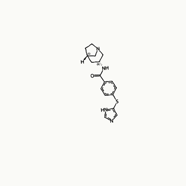 O=C(N[C@@H]1C[C@@H]2CCN(C2)C1)c1ccc(Sc2cnc[nH]2)cc1